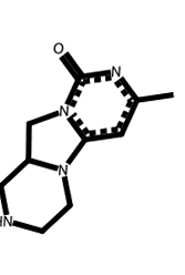 Cc1cc2n(c(=O)n1)CC1CNCCN21